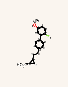 CC(C)Oc1ccc(F)c(-c2ccc(CCC3CC3C(=O)O)cc2)c1